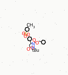 Cc1ccc(S(=O)(=O)Oc2ccc(C(CC(=O)OC(C)(C)C)NC(=O)OCc3ccccc3)cc2)cc1